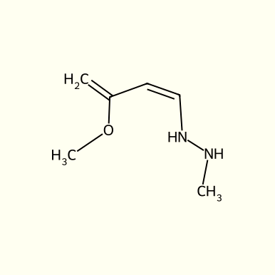 C=C(/C=C\NNC)OC